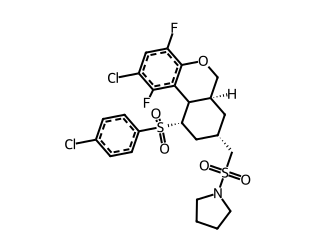 O=S(=O)(c1ccc(Cl)cc1)[C@H]1C[C@@H](CS(=O)(=O)N2CCCC2)C[C@@H]2COc3c(F)cc(Cl)c(F)c3C21